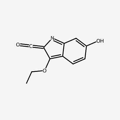 CCOC1=c2ccc(O)cc2=NC1=C=O